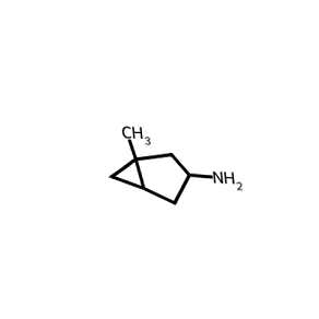 CC12CC(N)CC1C2